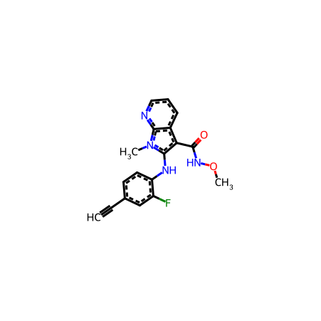 C#Cc1ccc(Nc2c(C(=O)NOC)c3cccnc3n2C)c(F)c1